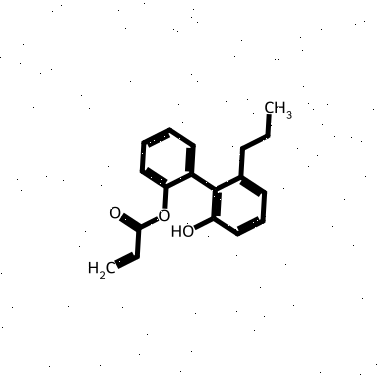 C=CC(=O)Oc1ccccc1-c1c(O)cccc1CCC